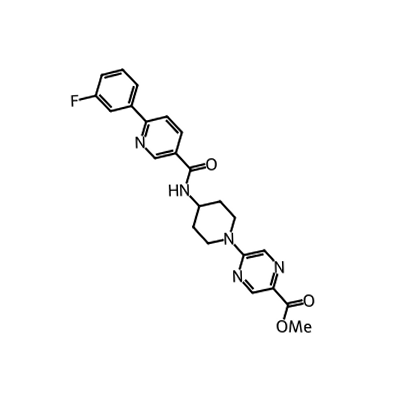 COC(=O)c1cnc(N2CCC(NC(=O)c3ccc(-c4cccc(F)c4)nc3)CC2)cn1